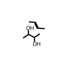 CC(O)C(C)O.CC=CC